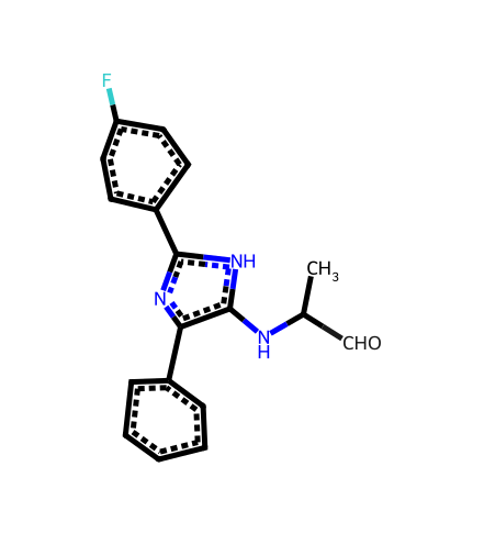 CC(C=O)Nc1[nH]c(-c2ccc(F)cc2)nc1-c1ccccc1